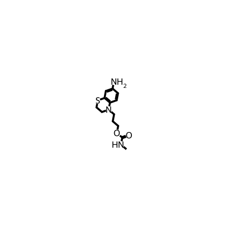 CNC(=O)OCCCN1CCSc2cc(N)ccc21